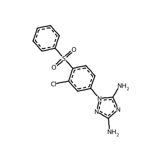 Nc1nc(N)n(-c2ccc(S(=O)(=O)c3ccccc3)c(Cl)c2)n1